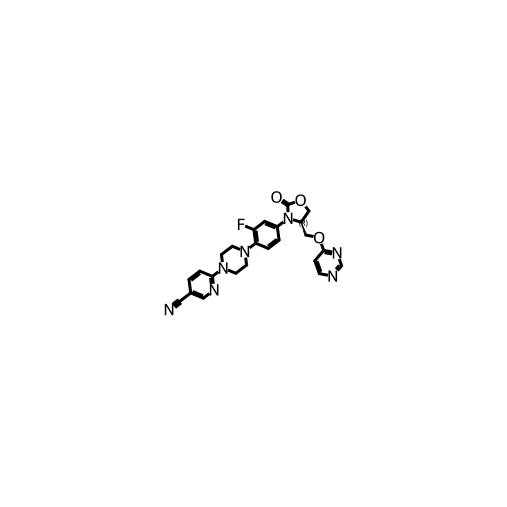 N#Cc1ccc(N2CCN(c3ccc(N4C(=O)OC[C@H]4COc4ccncn4)cc3F)CC2)nc1